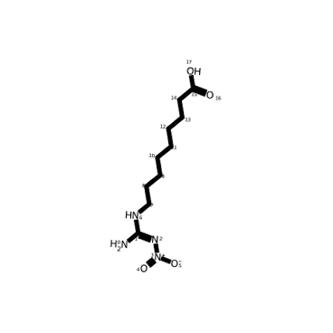 NC(=N[N+](=O)[O-])NCCCCCCCCC(=O)O